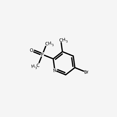 Cc1cc(Br)cnc1P(C)(C)=O